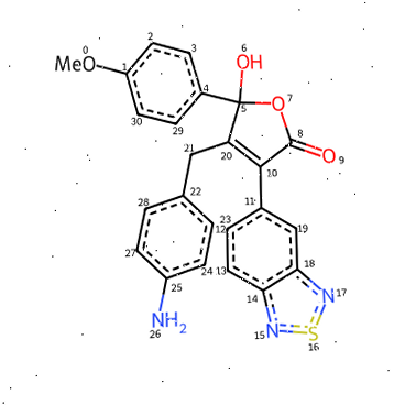 COc1ccc(C2(O)OC(=O)C(c3ccc4nsnc4c3)=C2Cc2ccc(N)cc2)cc1